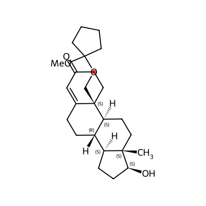 COC1(OC[C@]23CCC(=O)C=C2CC[C@@H]2[C@@H]3CC[C@]3(C)[C@@H](O)CC[C@@H]23)CCCC1